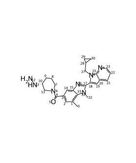 Cc1cc(C(=O)N2CCC[C@@H](NN)C2)cc2nc(-c3cc4cccnc4n3CC3CC3)n(C)c12